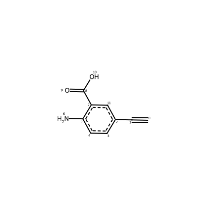 C#Cc1ccc(N)c(C(=O)O)c1